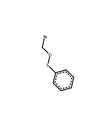 BrCOSc1ccccc1